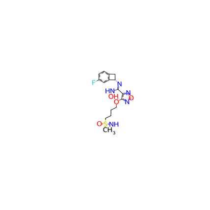 C[S@@](=N)(=O)CCCCOc1nonc1C(=N[C@H]1Cc2ccc(F)cc21)NO